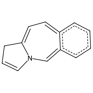 C1=CN2C=c3ccccc3=CC=C2C1